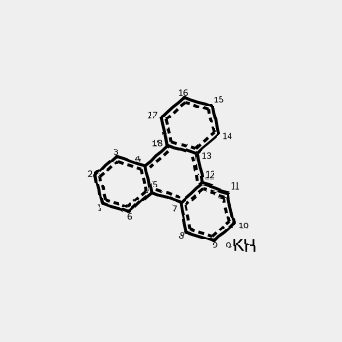 [KH].c1ccc2c(c1)c1ccccc1c1ccccc21